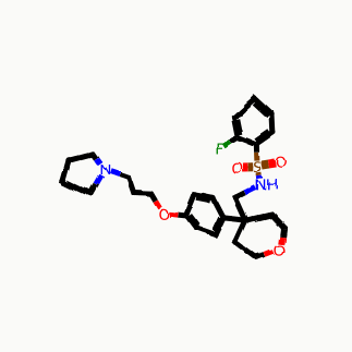 O=S(=O)(NCC1(c2ccc(OCCCN3CCCC3)cc2)CCOCC1)c1ccccc1F